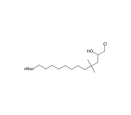 CCCCCCCCCCCCCCCCCC(C)(C)CC(O)CCl